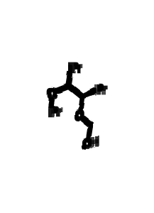 CC(C)OC(C(C)C)[C@H](OCO)C(C)C